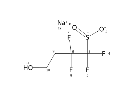 O=S([O-])C(F)(F)C(F)(F)CCO.[Na+]